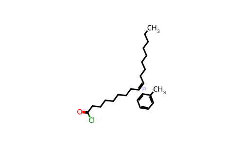 CCCCCCCC/C=C\CCCCCCCC(=O)Cl.Cc1ccccc1